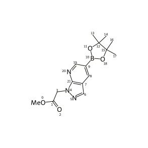 COC(=O)Cn1ncc2cc(B3OC(C)(C)C(C)(C)O3)cnc21